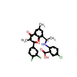 Cc1cc([C@@H](C)Nc2ccc(Cl)cc2C(=O)O)c2oc(-c3ccc(F)c(F)c3)c(C)c(=O)c2c1